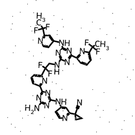 CC(F)(F)c1cc(Nc2nc(NCC(F)(F)c3cccc(-c4nc(N)nc(Nc5ccnc(C6(C#N)CC6)c5)n4)n3)nc(-c3cccc(C(C)(F)F)n3)n2)ccn1